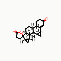 C[C@]12CCC(=O)C=C1C1CC1[C@H]1[C@@H]3[C@@H]4C[C@@H]4C4(CCC(=O)O4)[C@@]3(C)CC[C@@H]12